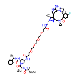 CC[C@H](NC(=O)[C@H]1C[C@@H](NC(=O)CCOCCOCCOCCOCCC(=O)NCCn2nc3c(c2C#N)-c2cnc(N)c(c2)N2CCC[C@@H]2c2cc(F)ccc2C(=O)N(C2CC2)C3)CN1C(=O)[C@H](NC(=O)[C@@H](C)NC)C(C)(C)C)c1ccccc1